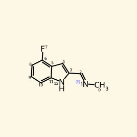 C/N=C/c1cc2c(F)cccc2[nH]1